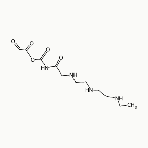 CCNCCNCCNCC(=O)NC(=O)OC(=O)C=O